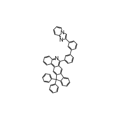 c1ccc(C2(c3ccccc3)c3ccccc3-c3cc4c(-c5cccc(-c6cccc(-c7cn8ccccc8n7)c6)c5)nc5ccccc5c4cc32)cc1